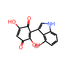 O=C1C=C(O)C(=O)C(c2c[nH]c3cccc(Br)c23)=C1O